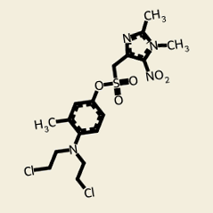 Cc1cc(OS(=O)(=O)Cc2nc(C)n(C)c2[N+](=O)[O-])ccc1N(CCCl)CCCl